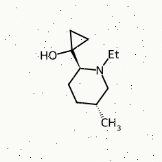 CCN1C[C@H](C)CC[C@H]1C1(O)CC1